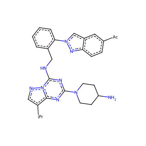 CC(=O)c1ccc2nn(-c3ccccc3CNc3nc(N4CCC(N)CC4)nc4c(C(C)C)cnn34)cc2c1